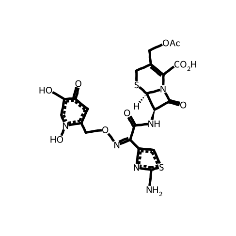 CC(=O)OCC1=C(C(=O)O)N2C(=O)[C@@H](NC(=O)/C(=N\OCc3cc(=O)c(O)cn3O)c3csc(N)n3)[C@H]2SC1